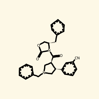 N#Cc1cccc([C@@H]2CN(Cc3ccccc3)C[C@H]2C(=O)N2C(=O)OC[C@@H]2Cc2ccccc2)c1